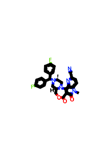 C[C@@H]1CN2c3c(c(=O)n(C)c4ccc(C#N)nc34)C(=O)OC[C@H]2CN1C(c1ccc(F)cc1)c1ccc(F)cc1